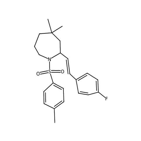 Cc1ccc(S(=O)(=O)N2CCCC(C)(C)CC2C=Cc2ccc(F)cc2)cc1